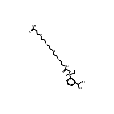 CCS(C)(CC(=O)NCCOCCOCCOCCOCCC(=O)O)c1cccc(C(O)O)c1